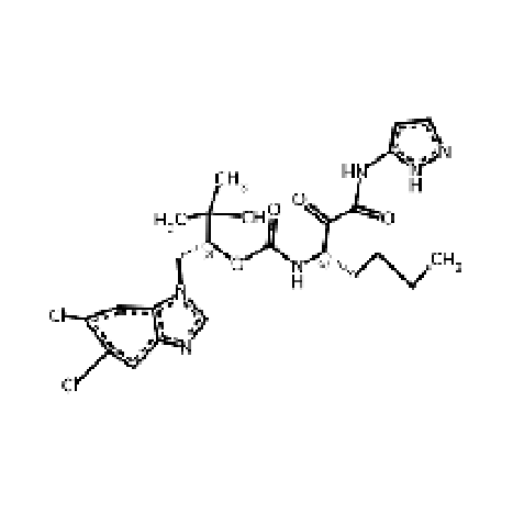 CCCC[C@H](NC(=O)O[C@H](Cn1cnc2cc(Cl)c(Cl)cc21)C(C)(C)C)C(=O)C(=O)Nc1ccn[nH]1